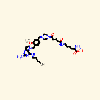 CCCCCNc1nc(N)nc2ccn(Cc3ccc(CN4CCN(C(=O)CCCC(=O)NCCCCC(N)C(=O)O)CC4)cc3OC)c12